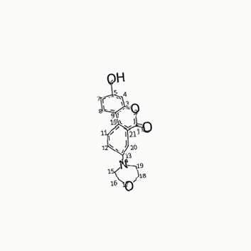 O=c1oc2cc(O)ccc2c2ccc(N3CCOCC3)cc12